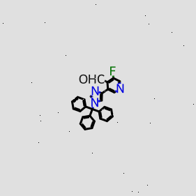 O=Cc1c(F)cncc1-c1cn(C(c2ccccc2)(c2ccccc2)c2ccccc2)cn1